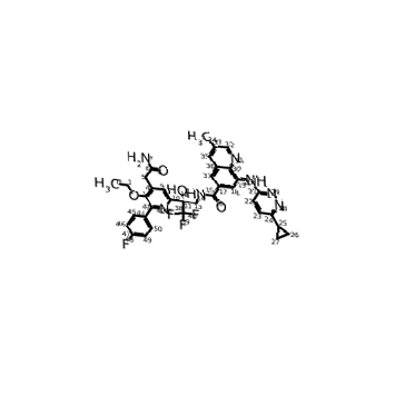 CCOc1c(CC(N)=O)cc([C@@](O)(CNC(=O)c2cc(Nc3ccc(C4CC4)nn3)c3ncc(C)cc3c2)C(F)(F)F)nc1-c1ccc(F)cc1